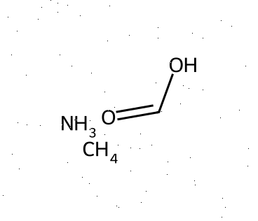 C.N.O=CO